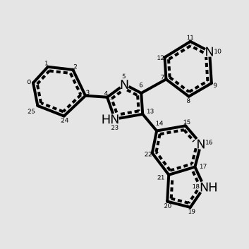 c1ccc(-c2nc(-c3ccncc3)c(-c3cnc4[nH]ccc4c3)[nH]2)cc1